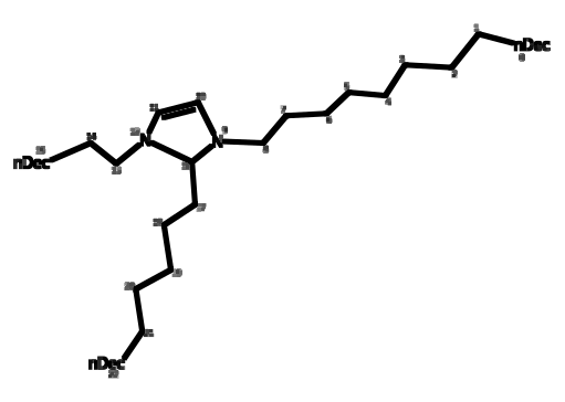 CCCCCCCCCCCCCCCCCCN1C=CN(CCCCCCCCCCCC)C1CCCCCCCCCCCCCCC